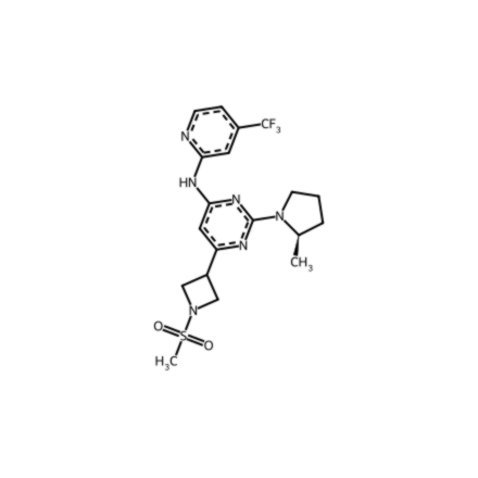 C[C@@H]1CCCN1c1nc(Nc2cc(C(F)(F)F)ccn2)cc(C2CN(S(C)(=O)=O)C2)n1